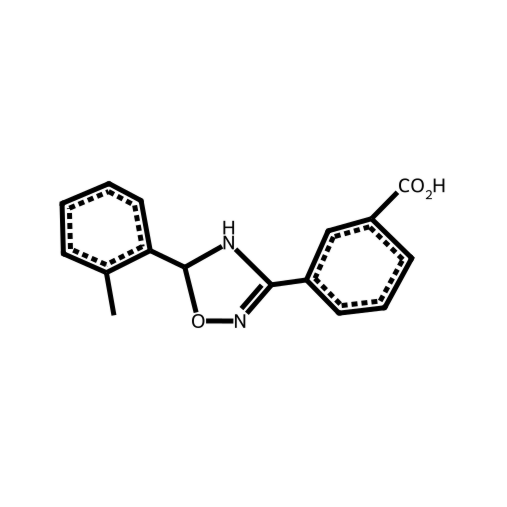 Cc1ccccc1C1NC(c2cccc(C(=O)O)c2)=NO1